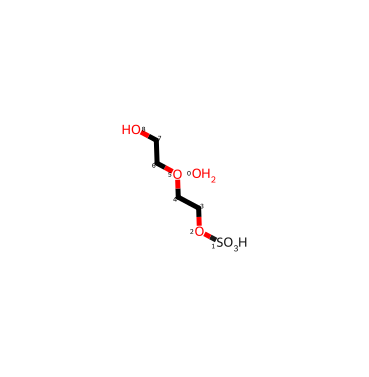 O.O=S(=O)(O)OCCOCCO